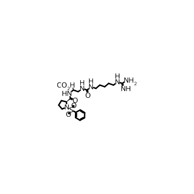 N=C(N)NCCCCCNC(=O)NC[C@@H](NC(=O)[C@@H]1CCCN1S(=O)(=O)c1ccccc1)C(=O)O